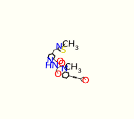 Cc1nc(Cc2ccnc(C(=O)NC3COc4ccc(C#CC5COC5)cc4N(C)C3=O)c2)cs1